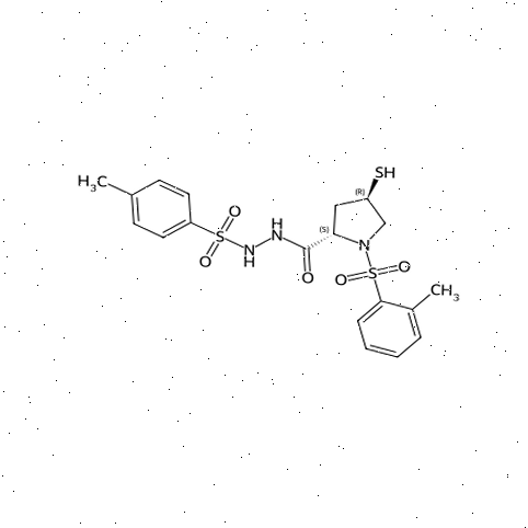 Cc1ccc(S(=O)(=O)NNC(=O)[C@@H]2C[C@@H](S)CN2S(=O)(=O)c2ccccc2C)cc1